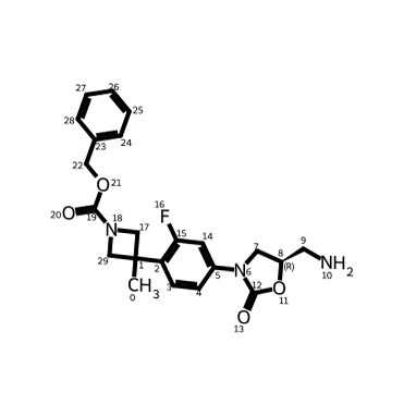 CC1(c2ccc(N3C[C@@H](CN)OC3=O)cc2F)CN(C(=O)OCc2ccccc2)C1